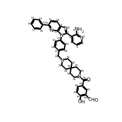 Nc1ncccc1-c1nc2ccc(-c3ccccc3)nc2n1-c1ccc(CN2CCC3(CC2)CCN(C(=O)c2ccc(O)c(C=O)c2)CC3)cc1